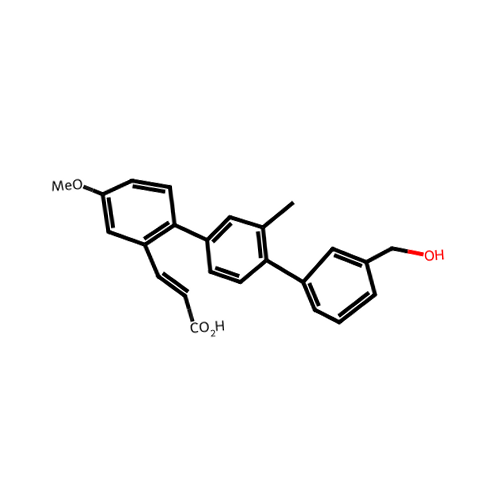 COc1ccc(-c2ccc(-c3cccc(CO)c3)c(C)c2)c(/C=C/C(=O)O)c1